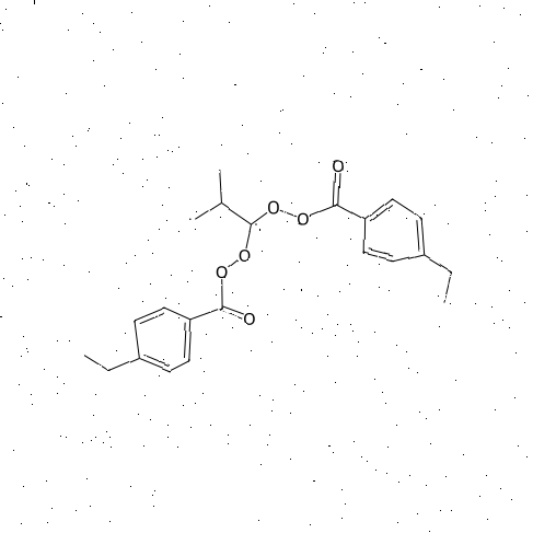 [CH2]C(C)[C](OOC(=O)c1ccc(CC)cc1)OOC(=O)c1ccc(CC)cc1